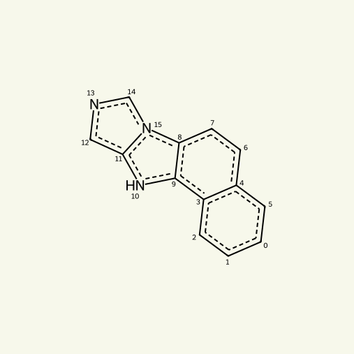 c1ccc2c(c1)ccc1c2[nH]c2cncn21